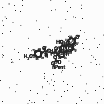 CCCCCOC(=O)O[C@]1(C(=O)COS(=O)(=O)c2ccc(C)cc2)CC[C@H]2[C@@H]3CCC4=CC(=O)CC[C@]4(C)[C@H]3[C@@H](O)C[C@@]21C